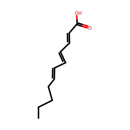 CCCCC=CC=CC=CC(=O)O